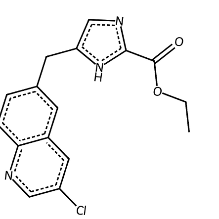 CCOC(=O)c1ncc(Cc2ccc3ncc(Cl)cc3c2)[nH]1